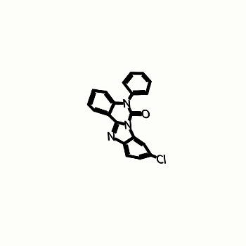 O=c1n(-c2ccccc2)c2ccccc2c2nc3ccc(Cl)cc3n12